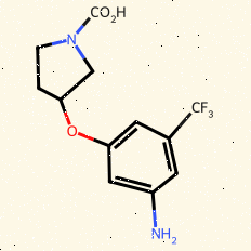 Nc1cc(OC2CCN(C(=O)O)C2)cc(C(F)(F)F)c1